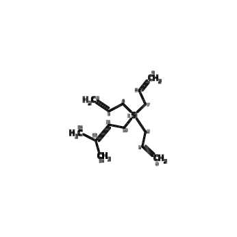 C=CC[Si](CC=C)(CC=C)CC=C(C)C